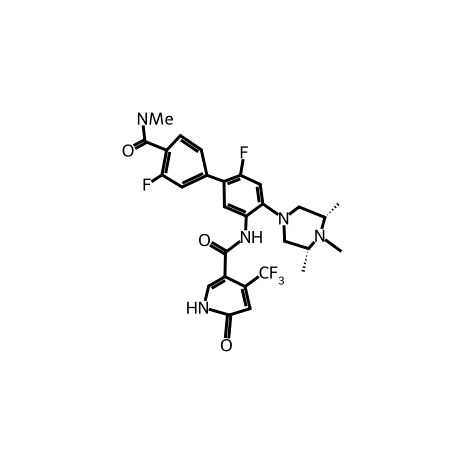 CNC(=O)c1ccc(-c2cc(NC(=O)c3c[nH]c(=O)cc3C(F)(F)F)c(N3C[C@@H](C)N(C)[C@@H](C)C3)cc2F)cc1F